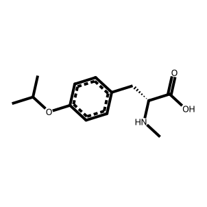 CN[C@H](Cc1ccc(OC(C)C)cc1)C(=O)O